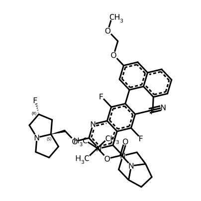 COCOc1cc(-c2c(C#N)c(F)c3c(N4CC5CCC(C4)N5C(=O)OC(C)(C)C)nc(OC[C@@]45CCCN4C[C@H](F)C5)nc3c2F)c2c(F)cccc2c1